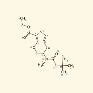 CCOC(=O)c1scc2c1OCC(N(C)C(=O)OC(C)(C)C)C2